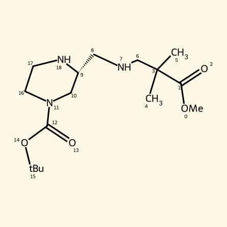 COC(=O)C(C)(C)CNC[C@@H]1CN(C(=O)OC(C)(C)C)CCN1